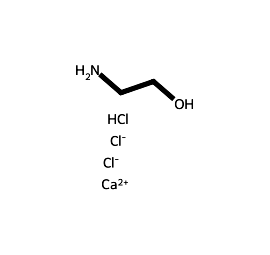 Cl.NCCO.[Ca+2].[Cl-].[Cl-]